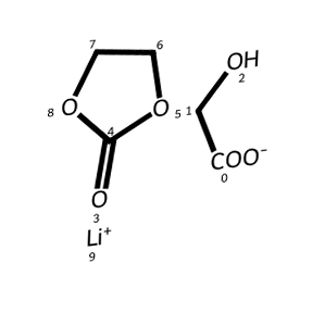 O=C([O-])CO.O=C1OCCO1.[Li+]